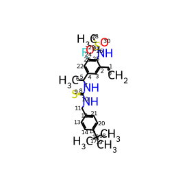 C=Cc1cc(C(C)NC(=S)NCc2ccc(C(C)(C)C)cc2)cc(F)c1NS(C)(=O)=O